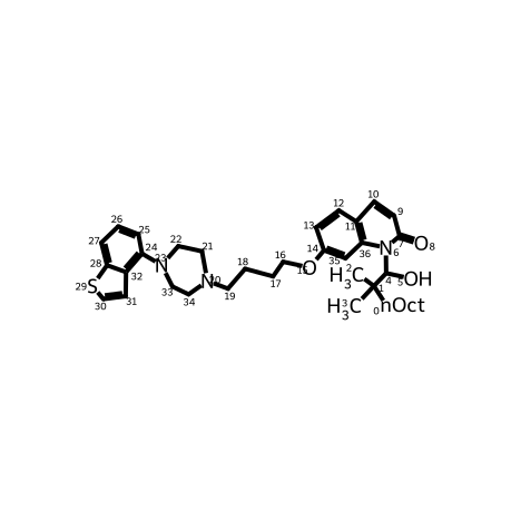 CCCCCCCCC(C)(C)C(O)n1c(=O)ccc2ccc(OCCCCN3CCN(c4cccc5sccc45)CC3)cc21